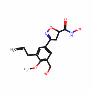 C=CCc1cc(C2=NOC(C(=O)NO)C2)cc(CO)c1OC